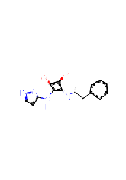 O=c1c(NCCc2ccccc2)c(Nc2cc[nH]n2)c1=O